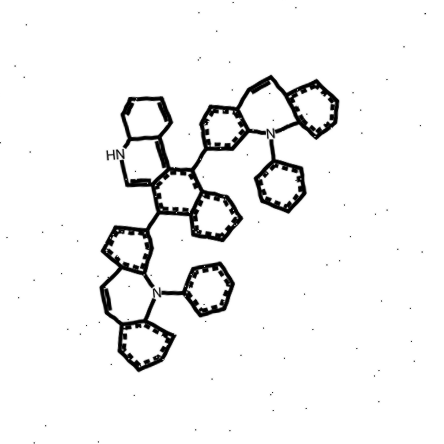 C1=CC2=c3c(-c4ccc5c(c4)N(c4ccccc4)c4ccccc4C=C5)c4ccccc4c(-c4ccc5c(c4)N(c4ccccc4)c4ccccc4C=C5)c3=CNC2C=C1